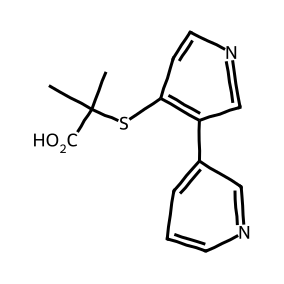 CC(C)(Sc1ccncc1-c1cccnc1)C(=O)O